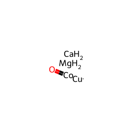 [CaH2].[Cu].[MgH2].[O]=[Co]